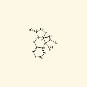 O=C1OC[C@H]2N1Cc1ccccc1C2(O)CI